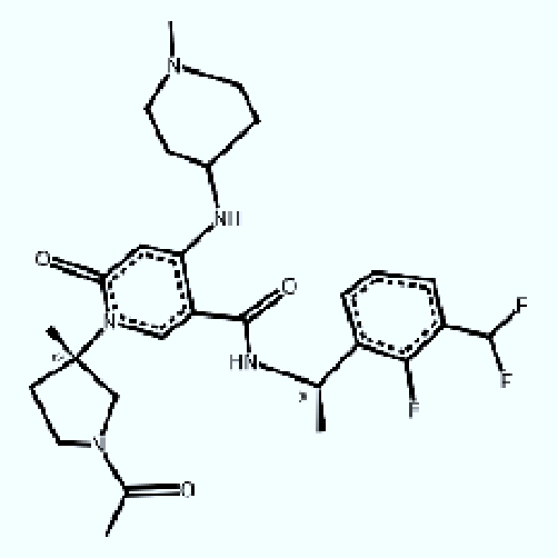 CC(=O)N1CC[C@](C)(n2cc(C(=O)N[C@H](C)c3cccc(C(F)F)c3F)c(NC3CCN(C)CC3)cc2=O)C1